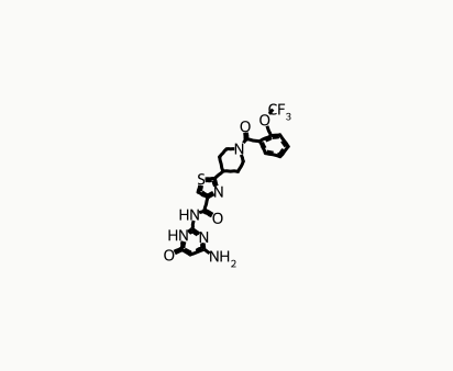 Nc1cc(=O)[nH]c(NC(=O)c2csc(C3CCN(C(=O)c4ccccc4OC(F)(F)F)CC3)n2)n1